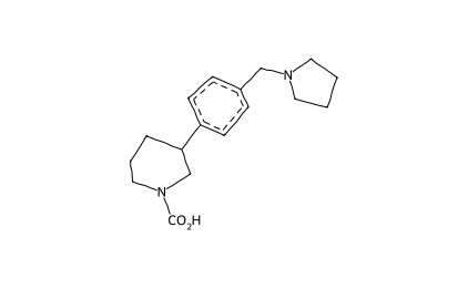 O=C(O)N1CCCC(c2ccc(CN3CCCC3)cc2)C1